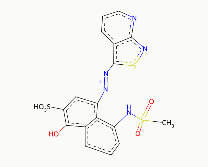 CS(=O)(=O)Nc1cccc2c(O)c(S(=O)(=O)O)cc(/N=N/c3snc4ncccc34)c12